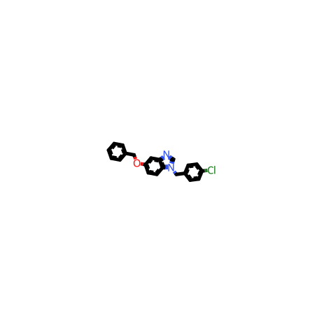 Clc1ccc(Cn2cnc3cc(OCc4ccccc4)ccc32)cc1